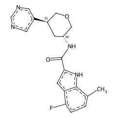 Cc1ccc(F)c2cc(C(=O)N[C@H]3COC[C@H](c4cncnc4)C3)[nH]c12